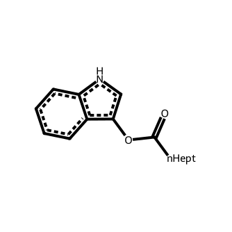 CCCCCCCC(=O)Oc1c[nH]c2ccccc12